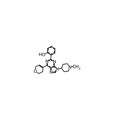 CN1CCC(n2cnc3c(C4=CCOCC4)nc(-c4ccccc4O)nc32)CC1